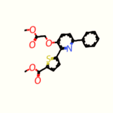 COC(=O)COc1ccc(-c2ccccc2)nc1-c1ccc(C(=O)OC)s1